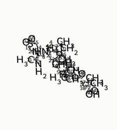 C=C(C)[C@@H]1CC[C@]2(NCC(C(C)N)N3CCS(=O)(=O)CC3)CC[C@]3(C)[C@H](CC[C@@H]4[C@@]5(C)CC[C@H](OC(=O)[C@H]6C[C@@H](C(=O)O)C6(C)C)C(C)(C)[C@@H]5CC[C@]43C)[C@@H]12